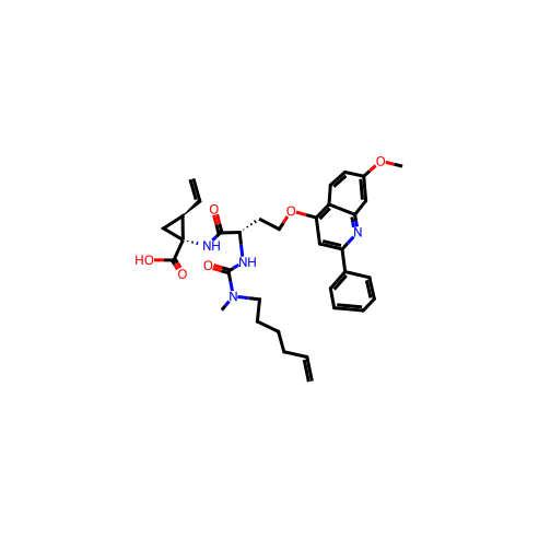 C=CCCCCN(C)C(=O)N[C@@H](CCOc1cc(-c2ccccc2)nc2cc(OC)ccc12)C(=O)N[C@]1(C(=O)O)C[C@H]1C=C